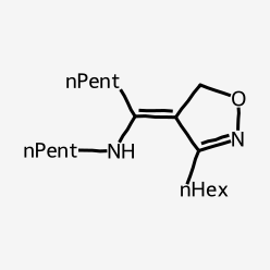 CCCCCCC1=NOCC1=C(CCCCC)NCCCCC